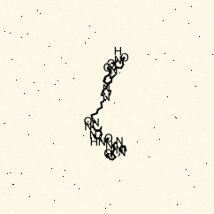 Cc1cc(NC(=O)Nc2cnc3ccnn3c2C2CCCO2)cnc1-c1noc(CCCCCCN2CCN(c3ccc4c(c3)CN(C3CCC(=O)NC3=O)C4=O)CC2)n1